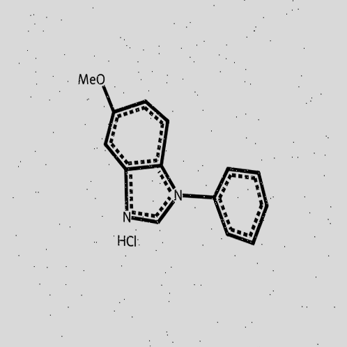 COc1ccc2c(c1)ncn2-c1ccccc1.Cl